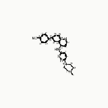 CN1CCN(c2ccc(Nc3ccnc4ccc(-c5ccc(C#N)cc5)cc34)nn2)CC1